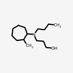 CCCCN(CCCO)C1CCCCCC1C